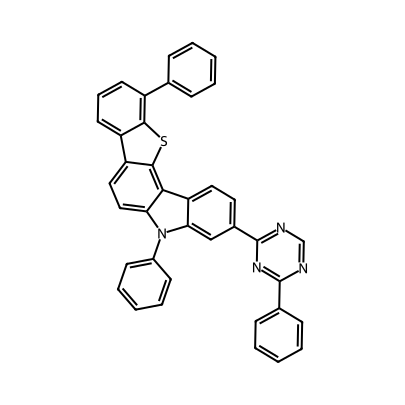 c1ccc(-c2ncnc(-c3ccc4c5c6sc7c(-c8ccccc8)cccc7c6ccc5n(-c5ccccc5)c4c3)n2)cc1